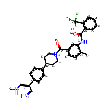 CN/C=C(\C=N)c1ccc(C2CCN(C(=O)c3ccc(C)c(NC(=O)c4ccccc4C(F)(F)F)c3)CC2)cc1